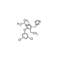 CCc1c(Cn2ccnc2)nn(C(C)C)c1Oc1cc(Cl)cc(Cl)c1